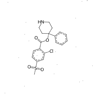 CS(=O)(=O)c1ccc(C(=O)OC2(c3ccccc3)CCNCC2)c(Cl)c1